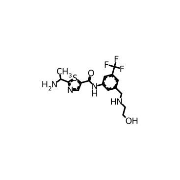 CC(N)c1ncc(C(=O)Nc2cc(CNCCO)cc(C(F)(F)F)c2)s1